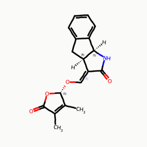 CC1=C(C)[C@@H](O/C=C2/C(=O)N[C@@H]3c4ccccc4C[C@H]23)OC1=O